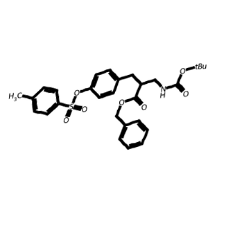 Cc1ccc(S(=O)(=O)Oc2ccc(CC(CNC(=O)OC(C)(C)C)C(=O)OCc3ccccc3)cc2)cc1